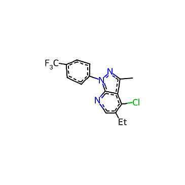 CCc1cnc2c(c(C)nn2-c2ccc(C(F)(F)F)cc2)c1Cl